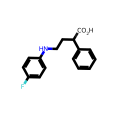 O=C(O)C(CCNc1ccc(F)cc1)c1ccccc1